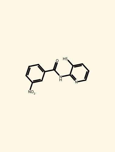 O=C(Nc1ncccc1S)c1cccc([N+](=O)[O-])c1